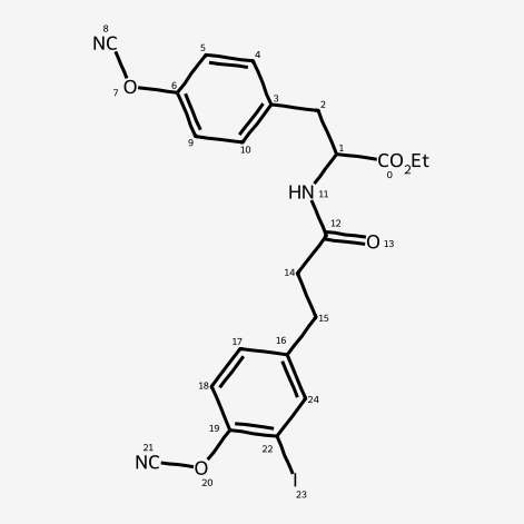 CCOC(=O)C(Cc1ccc(OC#N)cc1)NC(=O)CCc1ccc(OC#N)c(I)c1